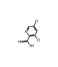 N=C(S)c1ncc(Cl)[c]c1Cl